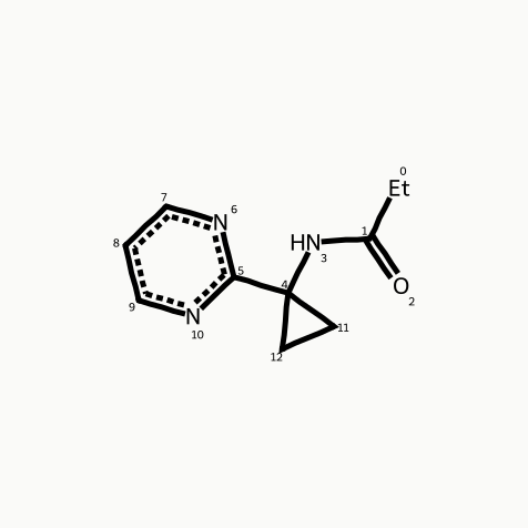 CCC(=O)NC1(c2ncccn2)CC1